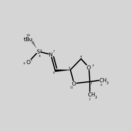 CC1(C)OC[C@H](C=N[S@+]([O-])C(C)(C)C)O1